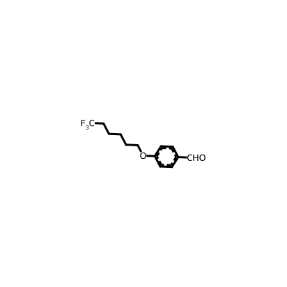 O=Cc1ccc(OCCCCCC(F)(F)F)cc1